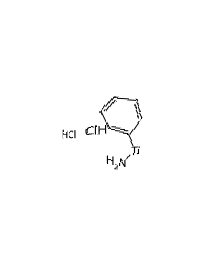 Cl.Cl.[NH2][Ti][c]1ccccc1